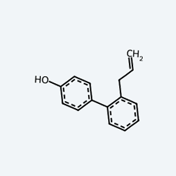 C=CCc1ccccc1-c1ccc(O)cc1